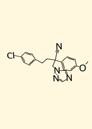 COc1ccc(C(C#N)(CCc2ccc(Cl)cc2)Cn2cncn2)cc1